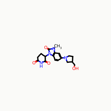 Cn1c(=O)n(C2CCC(=O)NC2=O)c2ccc(N3CCC(CO)C3)cc21